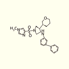 Cn1cnc(S(=O)(=O)N2C[C@@H]([C@@H]3CCCOC3)[C@H](Nc3cccc(-c4ccccc4)c3)C2)c1